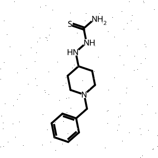 NC(=S)NNC1CCN(Cc2ccccc2)CC1